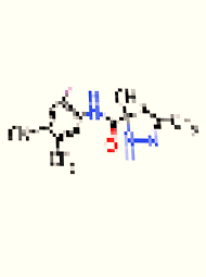 [C-]#[N+]c1cc(I)c(NC(=O)C2(C)CC(C(F)(F)F)=NN2)cc1C(F)(F)F